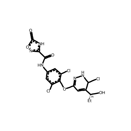 CC[C@@H](O)C1=CC(Oc2c(Cl)cc(NC(=O)c3noc(=O)[nH]3)cc2Cl)=NNC1Cl